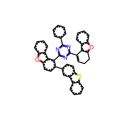 C1=C(c2nc(-c3ccccc3)nc(-c3c(-c4ccc5sc6ccccc6c5c4)ccc4oc5ccccc5c34)n2)c2c(oc3ccccc23)CC1